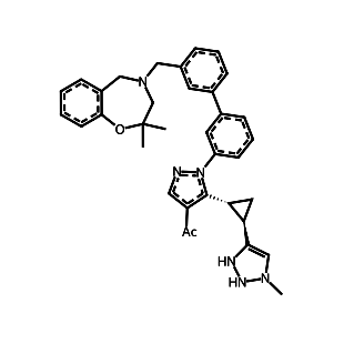 CC(=O)c1cnn(-c2cccc(-c3cccc(CN4Cc5ccccc5OC(C)(C)C4)c3)c2)c1[C@@H]1C[C@H]1C1=CN(C)NN1